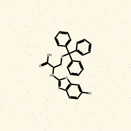 O=C(O)C(CSC(c1ccccc1)(c1ccccc1)c1ccccc1)Nc1nc2ccc(Cl)cc2o1